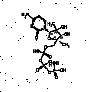 C[C@]1(O)[C@H](n2ccc(N)nc2=O)O[C@](C)(COP(=O)(O)OP(=O)(O)OP(=O)(O)O)[C@H]1O